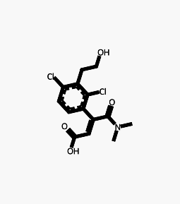 CN(C)C(=O)C(=CC(=O)O)c1ccc(Cl)c(CCO)c1Cl